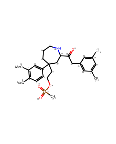 COc1ccc(C2(CCOS(C)(=O)=O)CCCNC(C(=O)Cc3cc(C(F)(F)F)cc(C(F)(F)F)c3)C2)cc1OC